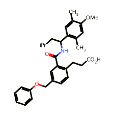 COc1cc(C)c(C(CC(C)C)NC(=O)c2cc(COc3ccccc3)ccc2CCC(=O)O)cc1C